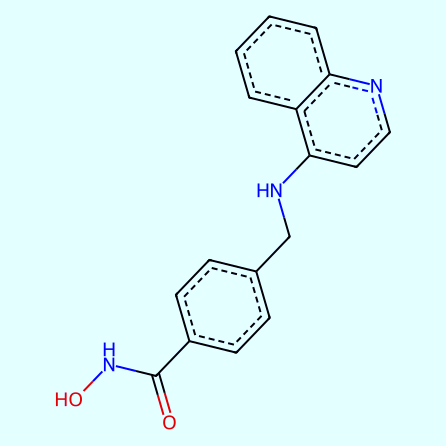 O=C(NO)c1ccc(CNc2ccnc3ccccc23)cc1